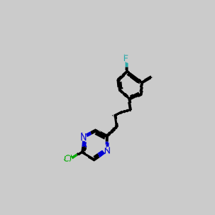 Cc1cc(C[CH]Cc2cnc(Cl)cn2)ccc1F